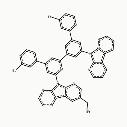 CCc1cccc(-c2cc(-c3cc(-c4cccc(CC)c4)cc(-n4c5ncccc5c5cc(CC(C)C)cnc54)c3)cc(-n3c4ncccc4c4cccnc43)c2)c1